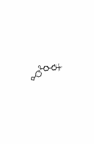 O=C(c1ccc(-c2ccc(C(F)(F)F)nc2)cc1)N1CCCN(C2CCC2)CC1